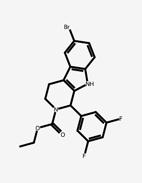 CCOC(=O)N1CCc2c([nH]c3ccc(Br)cc23)C1c1cc(F)cc(F)c1